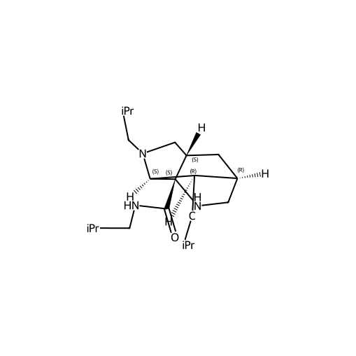 CC(C)CNC(=O)[C@]12NC[C@@H]3C[C@H]1CN(CC(C)C)[C@H]2[C@@H]3CC(C)C